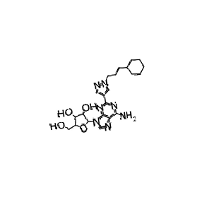 Nc1nc(-c2cnn(CCCC3CCCCC3)c2)nc2c1ncn2C1OC(CO)C(O)[C@H]1O